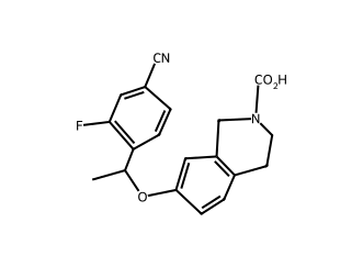 CC(Oc1ccc2c(c1)CN(C(=O)O)CC2)c1ccc(C#N)cc1F